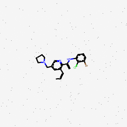 C=C(Nc1cccc(Br)c1Cl)c1ncc(CN2CCCC2)cc1/C=C\C